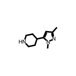 Cc1cc(C2CCNCC2)n(C)n1